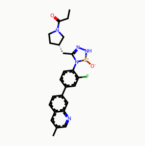 CCC(=O)N1CC[C@@H](CC2=NN[S+]([O-])N2c2ccc(-c3ccc4cc(C)cnc4c3)cc2F)C1